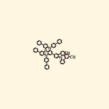 N#Cc1cc(C#N)cc(-c2ccccc2-n2c3ccccc3c3cc(-c4cc5c6c(c4)N(c4ccc(-c7ccccc7)cc4)c4ccc(-c7ccccc7)cc4B6c4cc(-c6ccccc6)ccc4N5c4ccc(-c5ccccc5)cc4)ccc32)c1